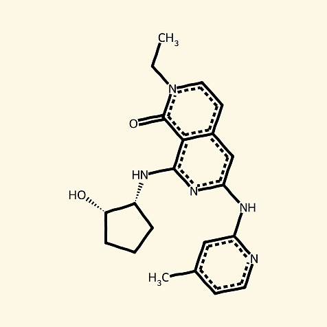 CCn1ccc2cc(Nc3cc(C)ccn3)nc(N[C@@H]3CCC[C@@H]3O)c2c1=O